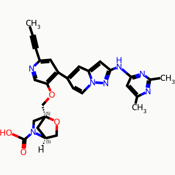 CC#Cc1cc(-c2ccn3nc(Nc4cc(C)nc(C)n4)cc3c2)c(OC[C@@]23C[C@@H](CO2)N(C(=O)O)C3)cn1